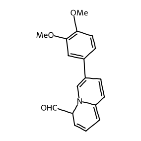 COc1ccc(C2=CN3C(=CC=CC3C=O)C=C2)cc1OC